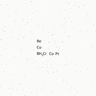 B.[Co].[Co].[Cr].[Pt].[Re]